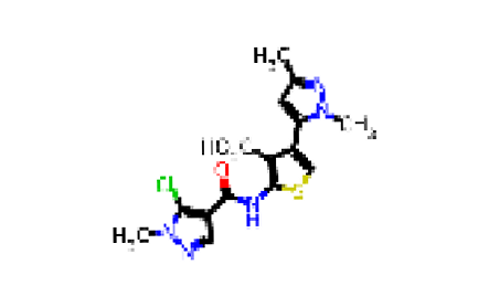 Cc1cc(-c2csc(NC(=O)c3cnn(C)c3Cl)c2C(=O)O)n(C)n1